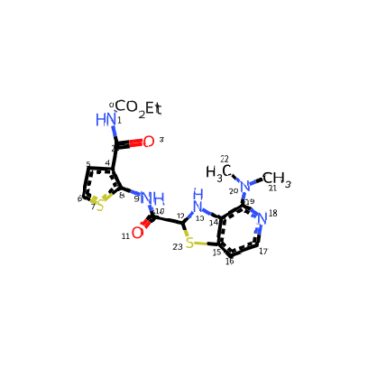 CCOC(=O)NC(=O)c1ccsc1NC(=O)C1Nc2c(ccnc2N(C)C)S1